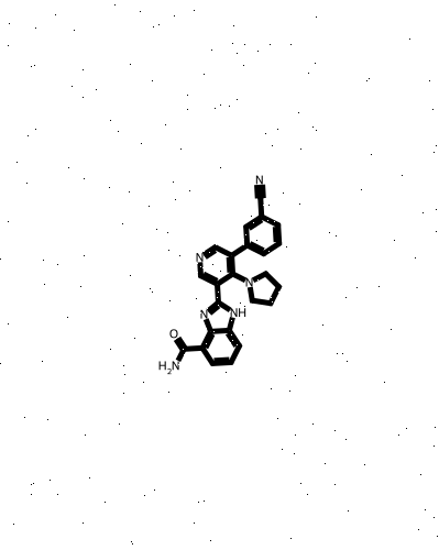 N#Cc1cccc(-c2cncc(-c3nc4c(C(N)=O)cccc4[nH]3)c2N2CCCC2)c1